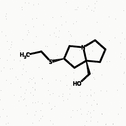 CCS[C@H]1CN2CCC[C@]2(CO)C1